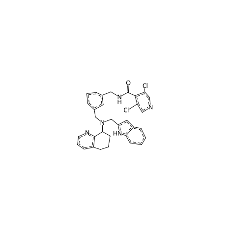 O=C(NCc1cccc(CN(Cc2cc3ccccc3[nH]2)C2CCCc3cccnc32)c1)c1c(Cl)cncc1Cl